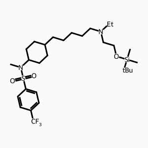 CCN(CCCCCC1CCC(N(C)S(=O)(=O)c2ccc(C(F)(F)F)cc2)CC1)CCO[Si](C)(C)C(C)(C)C